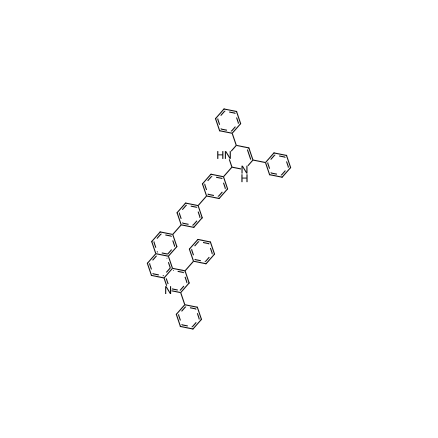 C1=C(c2ccccc2)NC(c2ccc(-c3ccc(-c4ccc5ccc6nc(-c7ccccc7)cc(-c7ccccc7)c6c5c4)cc3)cc2)NC1c1ccccc1